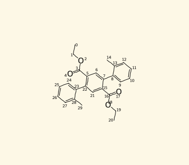 CCOC(=O)c1cc(-c2ccccc2C)c(C(=O)OCC)cc1-c1ccccc1C